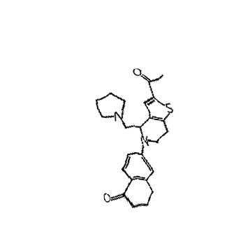 CC(=O)c1cc2c(s1)CCN(c1ccc3c(c1)CCCC3=O)C2CN1CCCC1